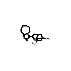 CC12CC3CC(C)(C1)CC(c1nnc4n1CCCCCC4)(C3)C2